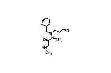 CNCC(=O)N(C)[C@H](CCC=O)CC1CC=CCC1